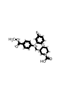 COC(=O)c1ccc(OC[C@@H]2CN(C(=O)O)CC[C@H]2c2ccc(F)cc2)cc1